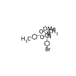 COC(=O)c1c(OCc2ccc(C)cc2)c(-c2ccc(Br)cc2)nn1C